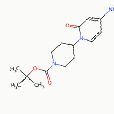 CC(C)(C)OC(=O)N1CCC(n2ccc(N)cc2=O)CC1